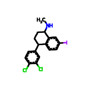 CNC1CCC(c2ccc(Cl)c(Cl)c2)c2ccc(I)cc21